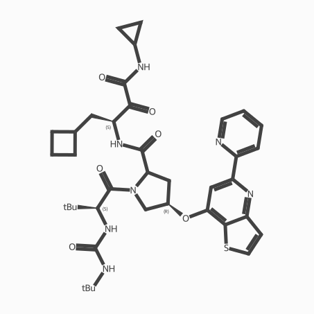 CC(C)(C)NC(=O)N[C@H](C(=O)N1C[C@H](Oc2cc(-c3ccccn3)nc3ccsc23)CC1C(=O)N[C@@H](CC1CCC1)C(=O)C(=O)NC1CC1)C(C)(C)C